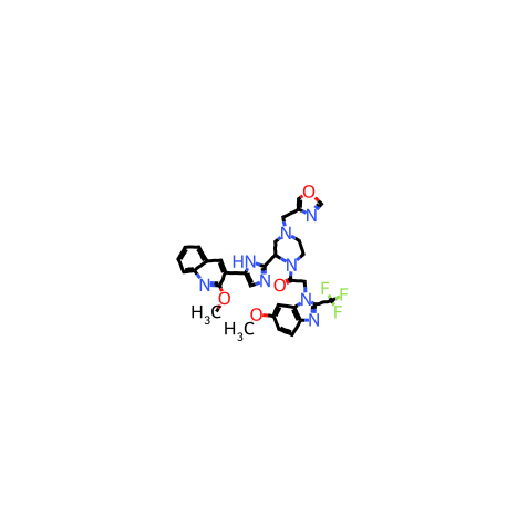 COc1ccc2nc(C(F)(F)F)n(CC(=O)N3CCN(Cc4cocn4)CC3c3ncc(-c4cc5ccccc5nc4OC)[nH]3)c2c1